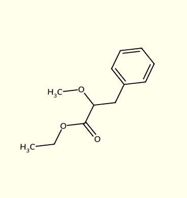 CCOC(=O)C(Cc1ccccc1)OC